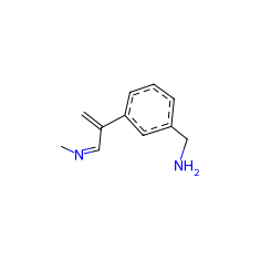 C=C(/C=N\C)c1cccc(CN)c1